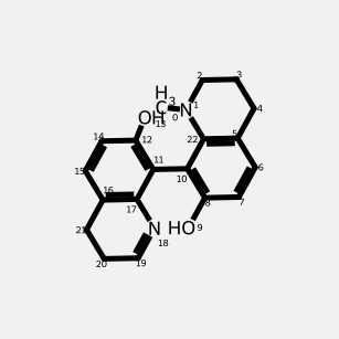 CN1CCCc2ccc(O)c(-c3c(O)ccc4c3N=CCC4)c21